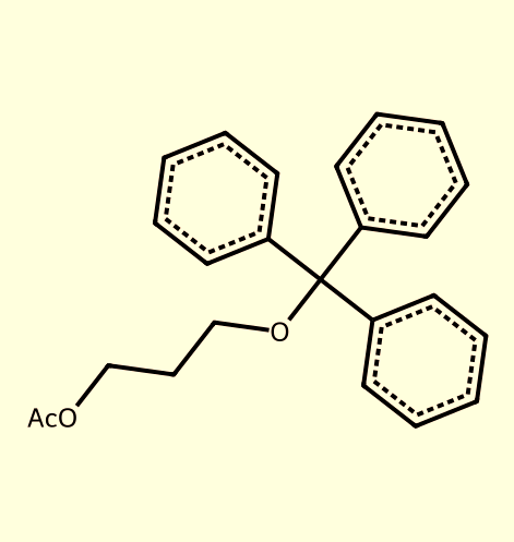 CC(=O)OCCCOC(c1ccccc1)(c1ccccc1)c1ccccc1